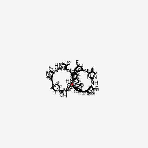 Cc1cnc2nc1Nc1cc(F)cc(c1)CCNC(=O)c1ccc(cc1S(=O)(=O)Cc1ccc3cc1CCCNC(=O)N1CCN(CC1)c1cnc(F)c(c1)Nc1ncc(C)c(n1)N3)-c1cnc(F)c(c1)N2